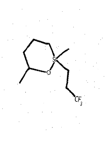 CC1CCC[Si](C)(CCC(F)(F)F)O1